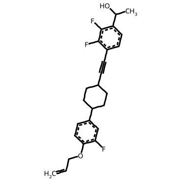 C=CCOc1ccc(C2CCC(C#Cc3ccc(C(C)O)c(F)c3F)CC2)cc1F